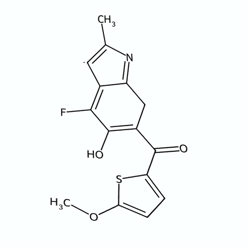 COc1ccc(C(=O)C2=C(O)C(F)=C3[C]=C(C)N=C3C2)s1